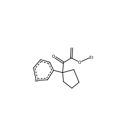 C=C(OCC)C(=O)C1(c2cccnc2)CCCC1